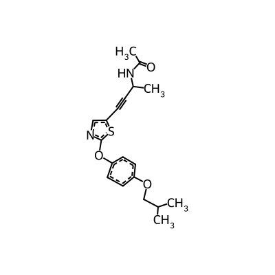 CC(=O)NC(C)C#Cc1cnc(Oc2ccc(OCC(C)C)cc2)s1